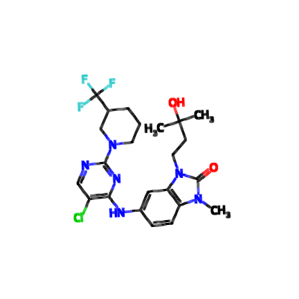 Cn1c(=O)n(CCC(C)(C)O)c2cc(Nc3nc(N4CCCC(C(F)(F)F)C4)ncc3Cl)ccc21